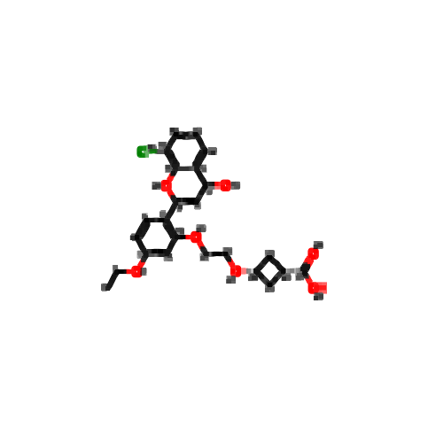 CCOc1ccc(-c2cc(=O)c3cccc(Cl)c3o2)c(OCCO[C@H]2C[C@@H](C(=O)O)C2)c1